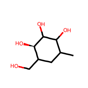 CC1CC(CO)[C@@H](O)C(O)C1O